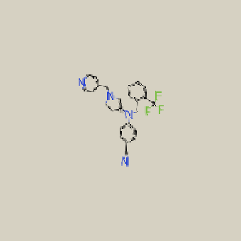 N#Cc1ccc(N(Cc2ccccc2C(F)(F)F)[C@H]2CCN(Cc3ccncc3)C2)cc1